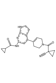 N#CC1(C(=O)N2CC=C(c3cc(NC(=O)C4CC4)nc4[nH]ccc34)CC2)CC1